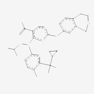 CC(=O)c1cnc(Nc2ccc3c(c2)CNCC3)nc1N(NC(C)C)c1ccc(F)c(C(C)(O)C2CC2)n1